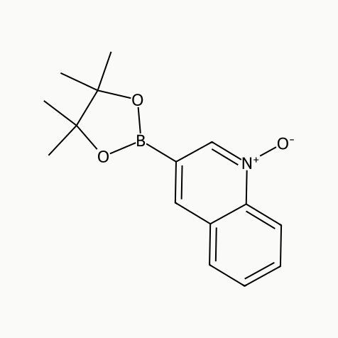 CC1(C)OB(c2cc3ccccc3[n+]([O-])c2)OC1(C)C